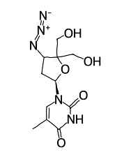 Cc1cn([C@H]2CC(N=[N+]=[N-])C(CO)(CO)O2)c(=O)[nH]c1=O